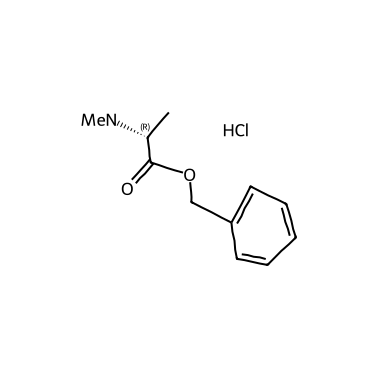 CN[C@H](C)C(=O)OCc1ccccc1.Cl